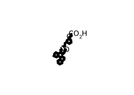 O=C(O)COc1cccc(CCCn2cc(-c3ccccc3-c3cccc4ccccc34)ccc2=O)c1